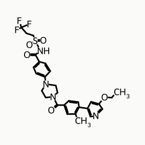 CCOc1cncc(-c2ccc(C(=O)N3CCN(c4ccc(C(=O)NS(=O)(=O)CCC(F)(F)F)cc4)CC3)cc2C)c1